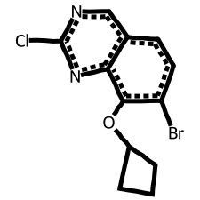 Clc1ncc2ccc(Br)c(OC3CCC3)c2n1